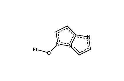 CCOn1ccc2nccn21